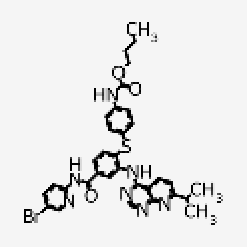 CCCCOC(=O)Nc1ccc(Sc2ccc(C(=O)Nc3ccc(Br)cn3)cc2Nc2ncnc3nc(C(C)C)ccc23)cc1